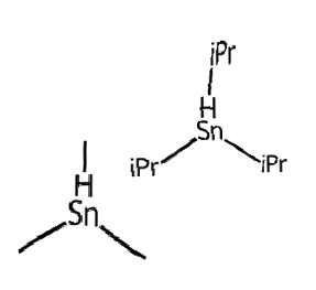 C[CH](C)[SnH]([CH](C)C)[CH](C)C.[CH3][SnH]([CH3])[CH3]